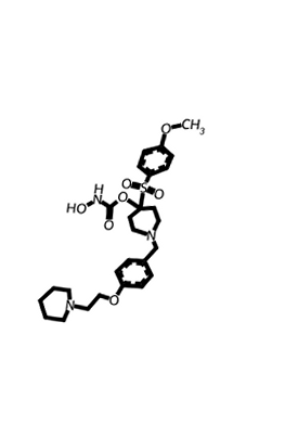 COc1ccc(S(=O)(=O)C2(OC(=O)NO)CCN(Cc3ccc(OCCN4CCCCC4)cc3)CC2)cc1